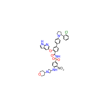 O=C(NS(=O)(=O)c1ccc(NC2CN(C3CCOCC3)C2)c([N+](=O)[O-])c1)c1ccc(-c2ccc(N3CCCC3c3ccccc3Cl)cc2)cc1Oc1cnc2[nH]ccc2c1